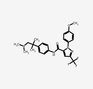 COc1ccc(-n2nc(C(F)(F)F)cc2C(=O)Nc2ccc(C(C)(C)CN(C)C)cc2)cc1